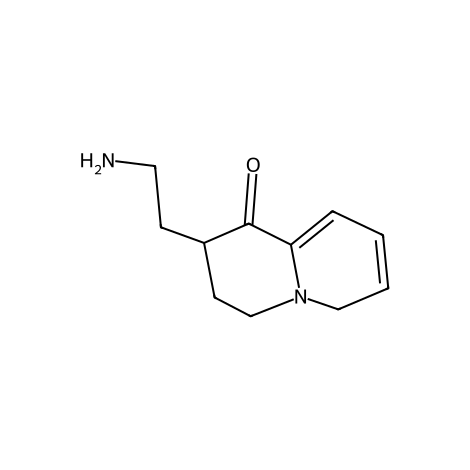 NCCC1CCN2CC=CC=C2C1=O